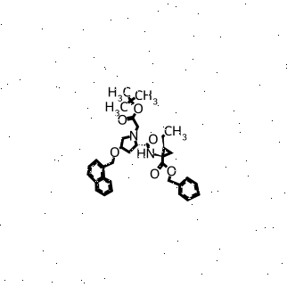 CC[C@H]1C[C@]1(NC(=O)[C@@H]1C[C@@H](OCc2cccc3ccccc23)CN1CC(=O)OC(C)(C)C)C(=O)OCc1ccccc1